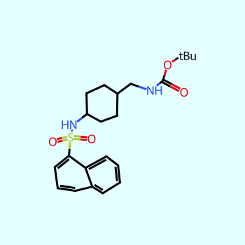 CC(C)(C)OC(=O)NCC1CCC(NS(=O)(=O)c2cccc3ccccc23)CC1